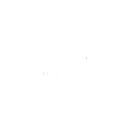 CCN(CC)c1cccc(C(C)(C)C)c1P(Cl)Cl